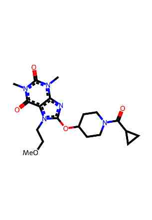 COCCn1c(OC2CCN(C(=O)C3CC3)CC2)nc2c1c(=O)n(C)c(=O)n2C